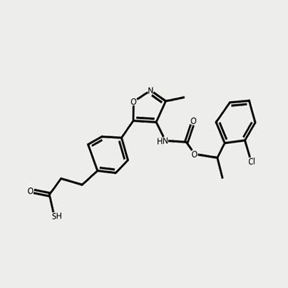 Cc1noc(-c2ccc(CCC(=O)S)cc2)c1NC(=O)OC(C)c1ccccc1Cl